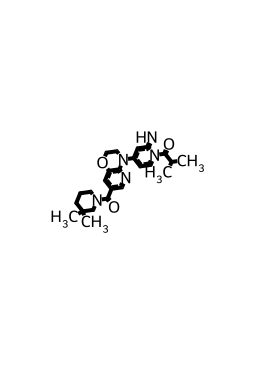 CC(C)C(=O)n1ccc(N2CCOc3cc(C(=O)N4CCCC(C)(C)C4)cnc32)cc1=N